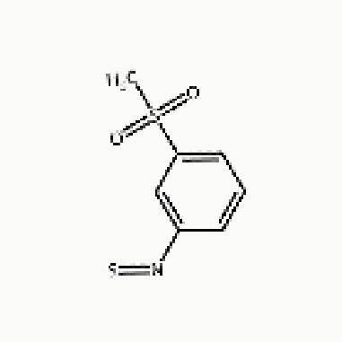 CS(=O)(=O)c1cccc(N=S)c1